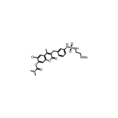 CNCCNS(=O)(=O)Nc1cccc(Cc2c(C)c3cc(Cl)c(OC(=O)N(C)C)cc3oc2=O)c1